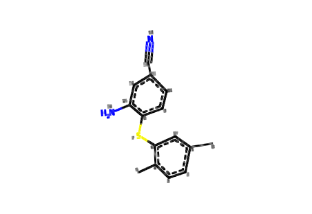 Cc1ccc(C)c(Sc2ccc(C#N)cc2N)c1